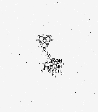 CC1N[C@H](C)C(C)(C(=O)O)C(c2cccc(C#N)c2)C1(CCCOCCCN1CCC(c2ccccc2)(c2ccccc2)CC1)C(=O)O